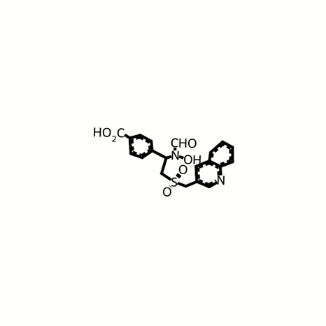 O=CN(O)C(CS(=O)(=O)Cc1cnc2ccccc2c1)c1ccc(C(=O)O)cc1